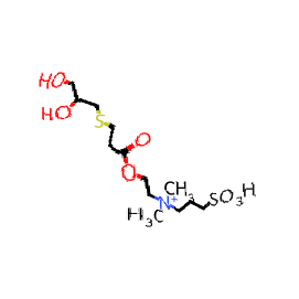 C[N+](C)(CCCS(=O)(=O)O)CCOC(=O)CCSCC(O)CO